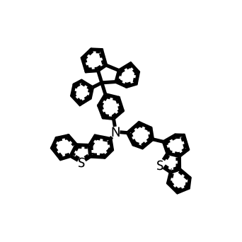 c1ccc(C2(c3ccc(N(c4ccc(-c5cccc6c5sc5ccccc56)cc4)c4ccc5sc6ccccc6c5c4)cc3)c3ccccc3-c3ccccc32)cc1